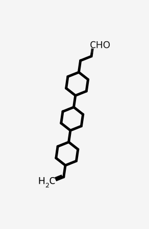 C=CC1CCC(C2CCC(C3CCC(CCC=O)CC3)CC2)CC1